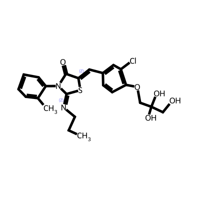 CCC/N=C1\S/C(=C\c2ccc(OCC(O)(O)CO)c(Cl)c2)C(=O)N1c1ccccc1C